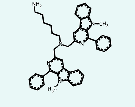 Cn1c2ccccc2c2cc(CN(CCCCCCN)Cc3cc4c5ccccc5n(C)c4c(-c4ccccc4)n3)nc(-c3ccccc3)c21